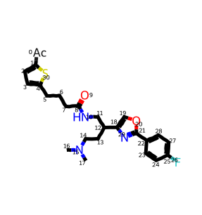 CC(=O)c1ccc(CCCC(=O)NCC(CCN(C)C)c2coc(-c3ccc(F)cc3)n2)s1